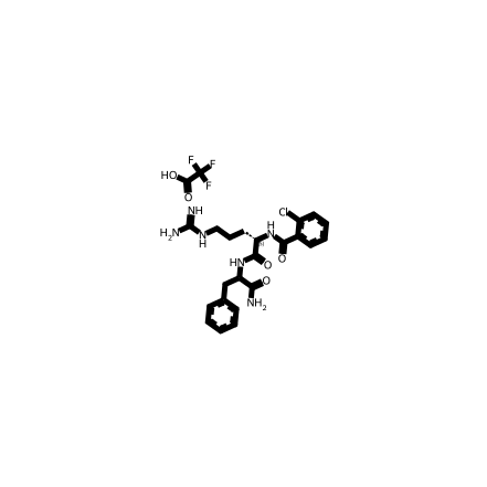 N=C(N)NCCC[C@H](NC(=O)c1ccccc1Cl)C(=O)NC(Cc1ccccc1)C(N)=O.O=C(O)C(F)(F)F